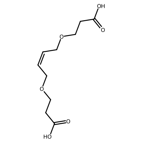 O=C(O)CCOC/C=C\COCCC(=O)O